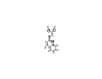 COC(CSc1cc(C)c2ccccc2n1)OC